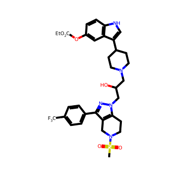 CCOC(=O)Oc1ccc2[nH]cc(C3CCN(CC(O)Cn4nc(-c5ccc(C(F)(F)F)cc5)c5c4CCN(S(C)(=O)=O)C5)CC3)c2c1